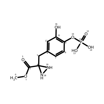 COC(=O)C1(Cc2ccc(OP(=O)(O)O)c(O)c2)NN1